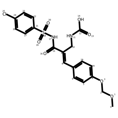 COCOc1ccc(/C=C(\CNC(=O)O)C(=O)NS(=O)(=O)c2ccc(Cl)cc2)cc1